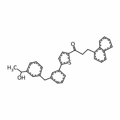 CC(O)c1cccc(Cc2cccc(-c3ccc(C(=O)CCc4cccc5ccccc45)s3)c2)c1